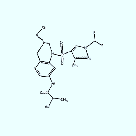 Cc1nn(C(F)F)cc1S(=O)(=O)N1CC(CO)Cc2ncc(NC(=O)C(C)C(C)(C)C)cc21